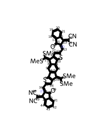 CSC(SC)=C1c2cc3c(cc2-c2sc(/C=C4\C(=O)c5ccccc5C4=C(C#N)C#N)cc21)C(=C(SC)SC)c1cc(/C=C2\C(=O)c4ccccc4C2=C(C#N)C#N)sc1-3